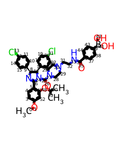 COc1ccc(C2=N[C@@H](c3ccc(Cl)cc3)[C@@H](c3ccc(Cl)cc3)N2C(=O)N2CCN(CCNC(=O)c3ccc(B(O)O)cc3)CC2)c(OC(C)C)c1